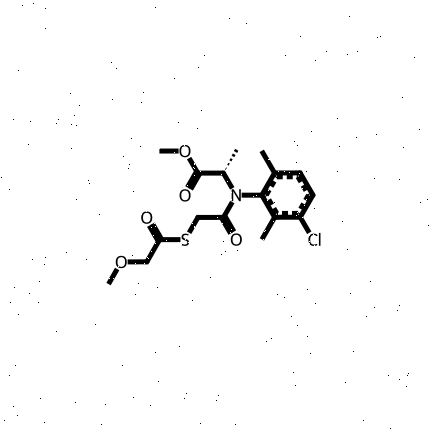 COCC(=O)SCC(=O)N(c1c(C)ccc(Cl)c1C)[C@@H](C)C(=O)OC